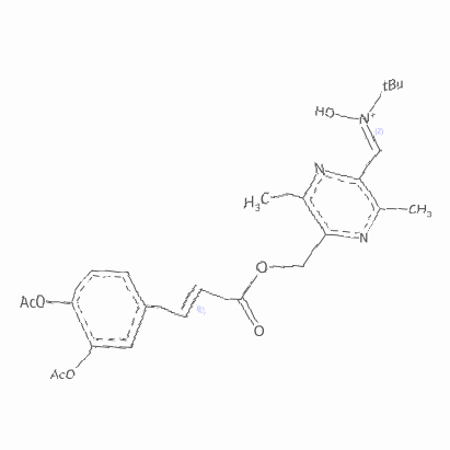 CC(=O)Oc1ccc(/C=C/C(=O)OCc2nc(C)c(/C=[N+](\O)C(C)(C)C)nc2C)cc1OC(C)=O